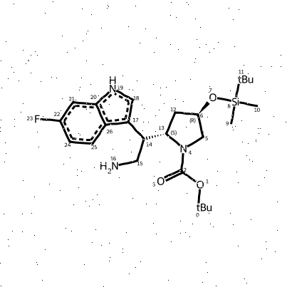 CC(C)(C)OC(=O)N1C[C@H](O[Si](C)(C)C(C)(C)C)C[C@H]1C(CN)c1c[nH]c2cc(F)ccc12